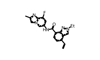 C=Cc1ccc(C(=O)Nc2cc(F)c3nc(C)cn3c2)c2nn(CC)cc12